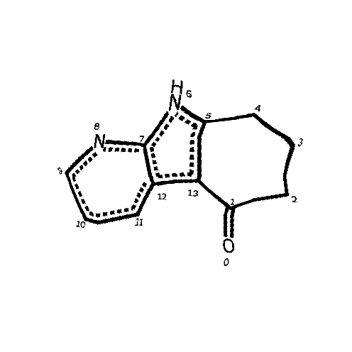 O=C1CCCc2[nH]c3ncccc3c21